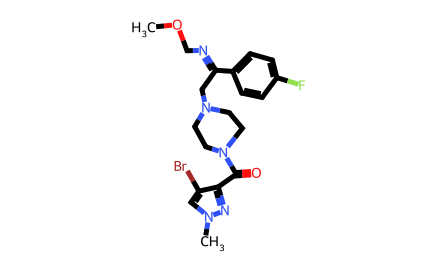 COC/N=C(\CN1CCN(C(=O)c2nn(C)cc2Br)CC1)c1ccc(F)cc1